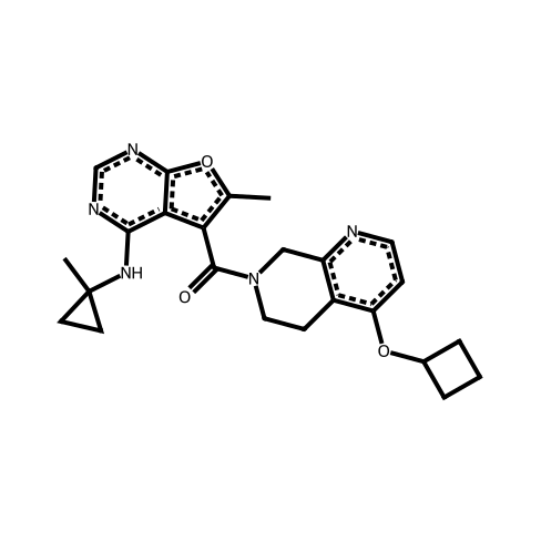 Cc1oc2ncnc(NC3(C)CC3)c2c1C(=O)N1CCc2c(OC3CCC3)ccnc2C1